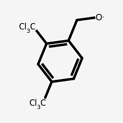 [O]Cc1ccc(C(Cl)(Cl)Cl)cc1C(Cl)(Cl)Cl